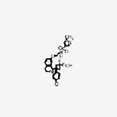 Cl.Cn1cc(S(=O)(=O)NCCOc2ccc3c(c2)C(C2(c4ccc(Cl)cc4)CC(F)(F)C2)NCC3)cn1